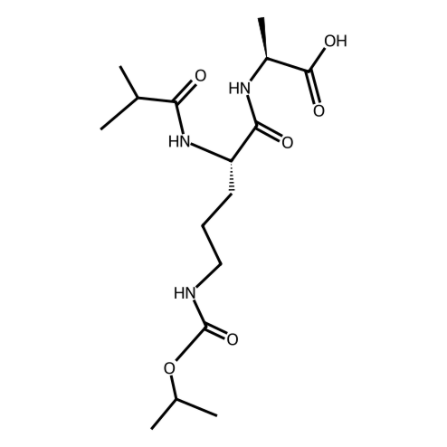 CC(C)OC(=O)NCCC[C@H](NC(=O)C(C)C)C(=O)N[C@@H](C)C(=O)O